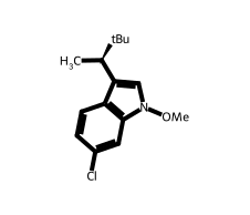 COn1cc([C@@H](C)C(C)(C)C)c2ccc(Cl)cc21